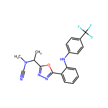 CC(c1nnc(-c2ccccc2Nc2ccc(C(F)(F)F)cc2)o1)N(C)C#N